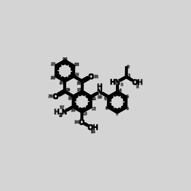 CC(O)Nc1ccccc1Nc1cc(OO)c(N)c2c1C(=O)c1ccccc1C2=O